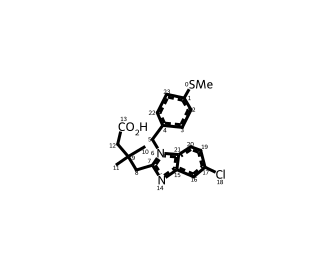 CSc1ccc(Cn2c(CC(C)(C)CC(=O)O)nc3cc(Cl)ccc32)cc1